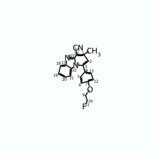 Cc1cc(-c2ccc(OCCF)cc2)n2c(nc3ccccc32)c1C#N